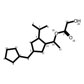 CC(C)C1CC(CC2CCCC2)CC1C(C)OC(=O)CO